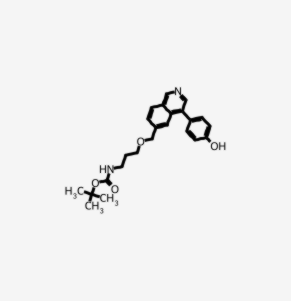 CC(C)(C)OC(=O)NCCCOCc1ccc2cncc(-c3ccc(O)cc3)c2c1